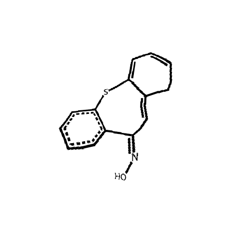 O/N=C1/C=C2CC=CC=C2Sc2ccccc21